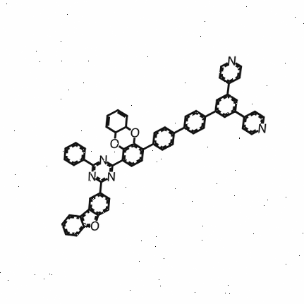 C1=CC2Oc3c(-c4ccc(-c5ccc(-c6cc(-c7ccncc7)cc(-c7ccncc7)c6)cc5)cc4)ccc(-c4nc(-c5ccccc5)nc(-c5ccc6oc7ccccc7c6c5)n4)c3OC2C=C1